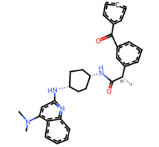 C[C@H](C(=O)N[C@H]1CC[C@@H](Nc2cc(N(C)C)c3ccccc3n2)CC1)c1cccc(C(=O)c2ccccc2)c1